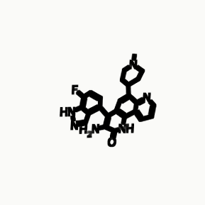 CN1CCC(c2cc3c(-c4ccc(F)c5[nH]ncc45)c(N)c(=O)[nH]c3c3cccnc23)CC1